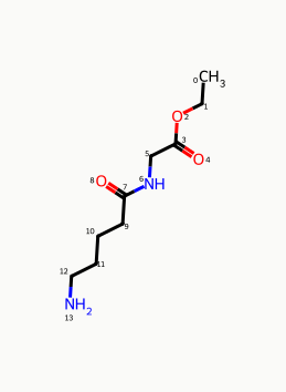 CCOC(=O)CNC(=O)CCCCN